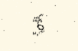 COc1ccc(NC(=S)NC#N)cc1